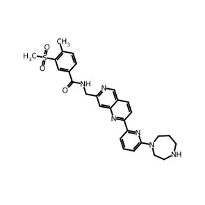 Cc1ccc(C(=O)NCc2cc3nc(-c4cccc(N5CCCNCC5)n4)ccc3cn2)cc1S(C)(=O)=O